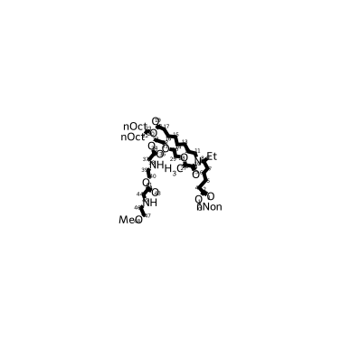 CCCCCCCCCOC(=O)CCCCC(CC)N(CCCCCCCC(=O)OC(CCCCCCCC)CCCCCCCC)C(=O)C(C)OCCOCCOC(=O)CNCCOC(=O)CNCCOC